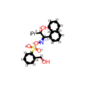 CC(C)C(O)/C(=N\OS(=O)(=O)c1ccccc1CO)c1cccc2ccccc12